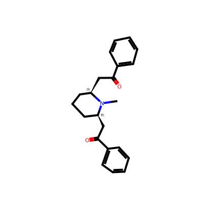 CN1[C@@H](CC(=O)c2ccccc2)CCC[C@H]1CC(=O)c1ccccc1